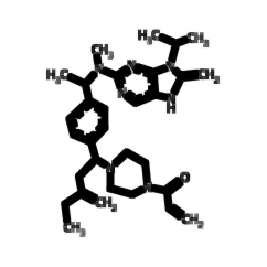 C=CC(=O)N1CCN(C(CC(=C)CC)c2ccc(C(C)N(C)c3ncc4c(n3)N(C(C)C)C(=C)N4)cc2)CC1